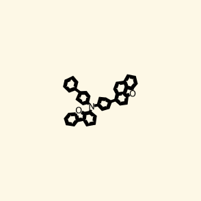 c1ccc(-c2ccc(N(c3ccc(-c4ccc5oc6cccc7ccc4c5c76)cc3)c3cccc4c3oc3ccccc34)cc2)cc1